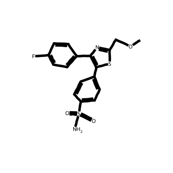 COCc1nc(-c2ccc(F)cc2)c(-c2ccc(S(N)(=O)=O)cc2)s1